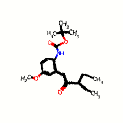 CCC(CC)C(=O)Cc1cc(OC)ccc1NC(=O)OC(C)(C)C